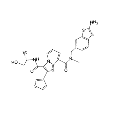 CC[C@@H](CO)NC(=O)c1c(-c2ccsc2)nc2c(C(=O)N(C)Cc3ccc4nc(N)sc4c3)cccn12